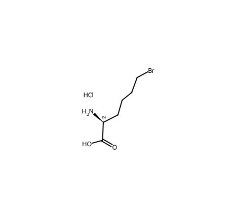 Cl.N[C@@H](CCCCBr)C(=O)O